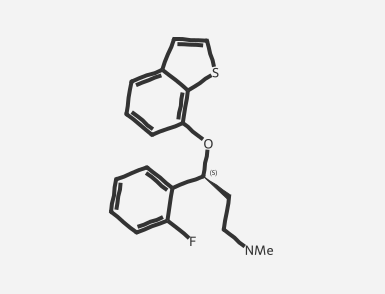 CNCC[C@H](Oc1cccc2ccsc12)c1ccccc1F